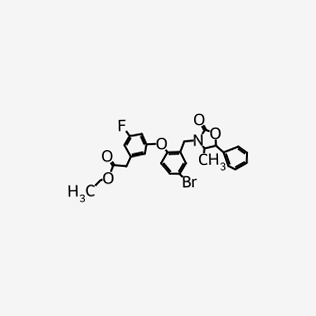 CCOC(=O)Cc1cc(F)cc(Oc2ccc(Br)cc2CN2C(=O)OC(c3ccccc3)C2C)c1